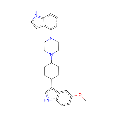 COc1ccc2[nH]cc(C3CCC(N4CCN(c5cccc6[nH]ccc56)CC4)CC3)c2c1